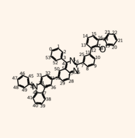 c1ccc(-c2nc(-c3cccc(-c4cccc5c4oc4ccccc45)c3)nc3ccc(-c4ccc5c(c4)c4ccccc4n5-c4ccccc4)cc23)cc1